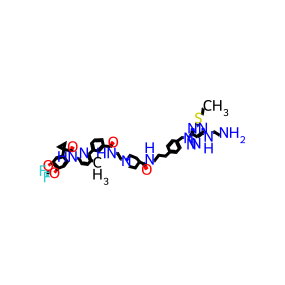 CCCSc1nc(NCCN)c2nnn(Cc3ccc(CCCNC(=O)C4CCN(CCNC(=O)c5cccc(-c6nc(NC(=O)C7(c8ccc9c(c8)OC(F)(F)O9)CC7)ccc6C)c5)CC4)cc3)c2n1